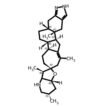 CC1=C2C[C@H]3[C@@H](CC[C@@H]4Cc5n[nH]cc5C[C@@]43C)[C@@H]2CC[C@@]2(C1)O[C@@H]1C[C@H](C)CNC1[C@H]2C